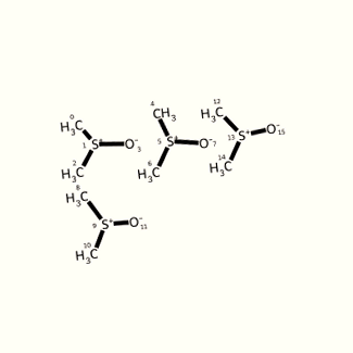 C[S+](C)[O-].C[S+](C)[O-].C[S+](C)[O-].C[S+](C)[O-]